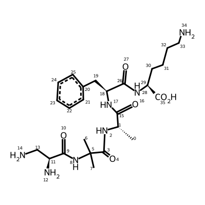 C[C@H](NC(=O)C(C)(C)NC(=O)[C@@H](N)CN)C(=O)N[C@@H](Cc1ccccc1)C(=O)N[C@@H](CCCCN)C(=O)O